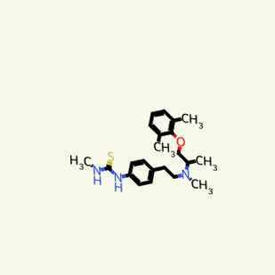 CNC(=S)Nc1ccc(CCN(C)C(C)COc2c(C)cccc2C)cc1